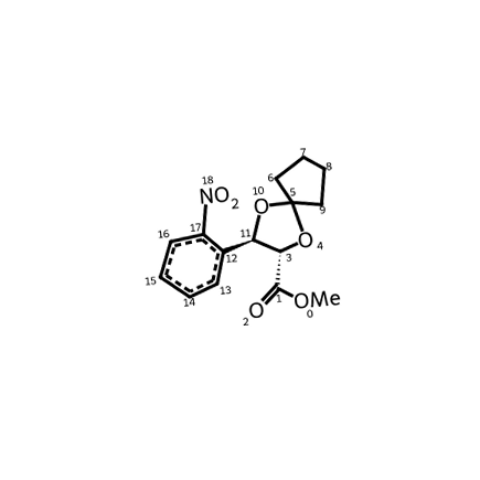 COC(=O)[C@H]1OC2(CCCC2)O[C@@H]1c1ccccc1[N+](=O)[O-]